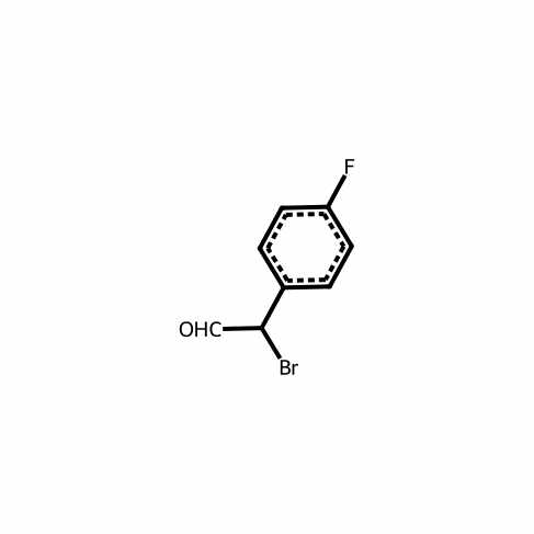 O=CC(Br)c1ccc(F)cc1